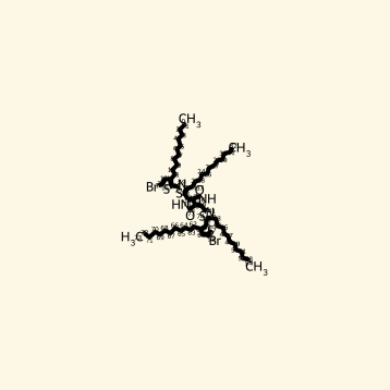 CCCCCCCCCCCCc1cc(Br)sc1-c1nc(CCCCCCCCCCCC)c(C2=C3C(=O)NC(c4nc(CCCCCCCCCCCC)c(-c5sc(Br)cc5CCCCCCCCCCCC)s4)=C3C(=O)N2)s1